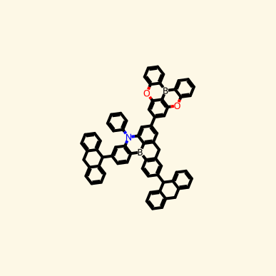 c1ccc(N2c3cc(C4c5ccccc5Cc5ccccc54)ccc3B3c4ccc(C5c6ccccc6Cc6ccccc65)cc4Cc4cc(-c5cc6c7c(c5)Oc5ccccc5B7c5ccccc5O6)cc2c43)cc1